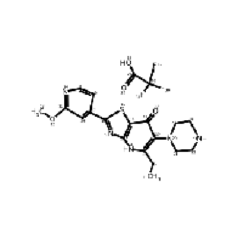 CCc1[nH]c2nc(-c3ccnc(OC)c3)sc2c(=O)c1N1CCNCC1.O=C(O)C(F)(F)F